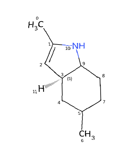 CC1=C[C@@H]2CC(C)CCC2N1